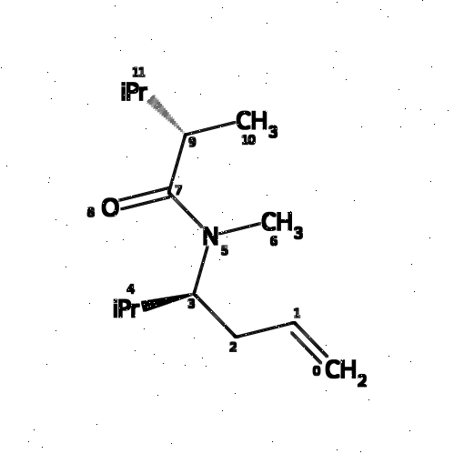 C=CC[C@@H](C(C)C)N(C)C(=O)[C@@H](C)C(C)C